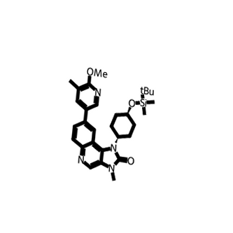 COc1ncc(-c2ccc3ncc4c(c3c2)n([C@H]2CC[C@H](O[Si](C)(C)C(C)(C)C)CC2)c(=O)n4C)cc1C